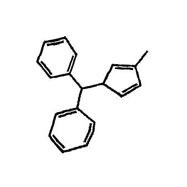 CC1=C[C](C(c2ccccc2)c2ccccc2)C=C1